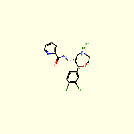 Cl.Cl.O=C(NC[C@@H]1CNCCO[C@H]1c1ccc(Cl)c(Cl)c1)c1ccccn1